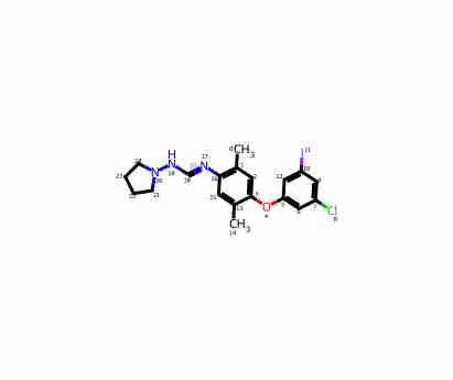 Cc1cc(Oc2cc(Cl)cc(I)c2)c(C)cc1/N=C/NN1CCCC1